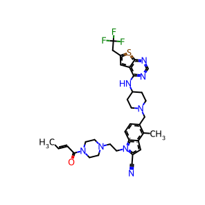 C/C=C/C(=O)N1CCN(CCn2c(C#N)cc3c(C)c(CN4CCC(Nc5ncnc6sc(CC(F)(F)F)cc56)CC4)ccc32)CC1